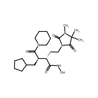 CN1C(=O)N(CC[C@H](C(=O)NO)[C@@H](CC2CCCC2)C(=O)N2CCCCC2)C(=O)C1(C)C